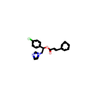 O=C(/C=C/c1ccccc1)OC(Cn1ccnc1)c1ccc(Cl)cc1